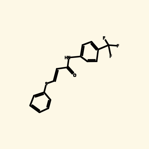 O=C(C=CSc1ccccc1)Nc1ccc(C(F)(F)F)cc1